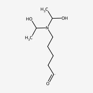 CC(O)N(CCCC[C]=O)C(C)O